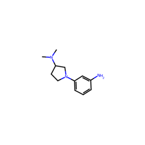 CN(C)C1CCN(c2cccc(N)c2)C1